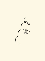 CCCCC(N)C[N+](=O)[O-].Cl